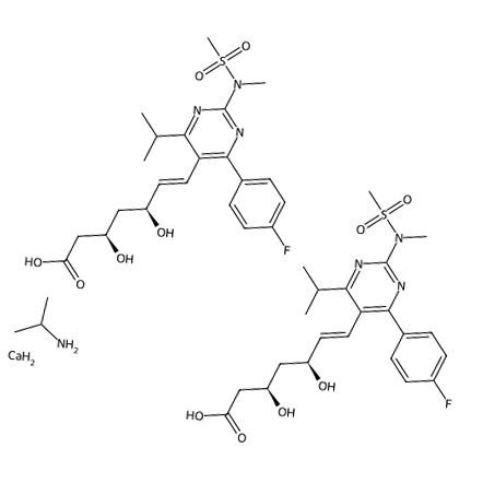 CC(C)N.CC(C)c1nc(N(C)S(C)(=O)=O)nc(-c2ccc(F)cc2)c1C=C[C@@H](O)C[C@@H](O)CC(=O)O.CC(C)c1nc(N(C)S(C)(=O)=O)nc(-c2ccc(F)cc2)c1C=C[C@@H](O)C[C@@H](O)CC(=O)O.[CaH2]